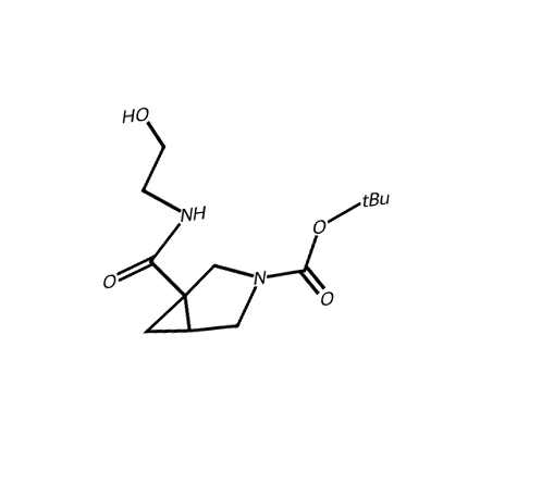 CC(C)(C)OC(=O)N1CC2CC2(C(=O)NCCO)C1